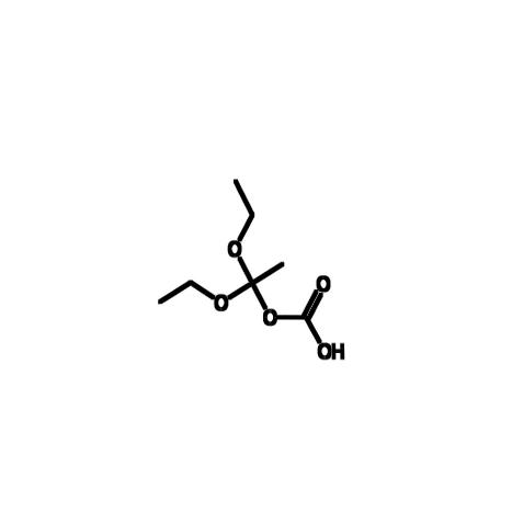 CCOC(C)(OCC)OC(=O)O